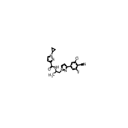 CC(Cn1ccc(-c2cc(F)c(C#N)c(Cl)c2)n1)NC(=O)c1ccn(C2CC2)n1